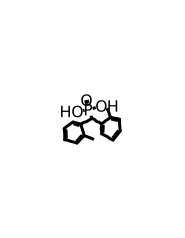 Cc1ccccc1C(c1ccccc1C)P(=O)(O)O